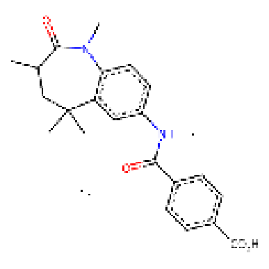 CC1CC(C)(C)c2cc(NC(=O)c3ccc(C(=O)O)cc3)ccc2N(C)C1=O